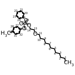 CCCCCCCCCCCCOCCOP(=O)(Oc1ccccc1)Oc1ccc(C)cc1